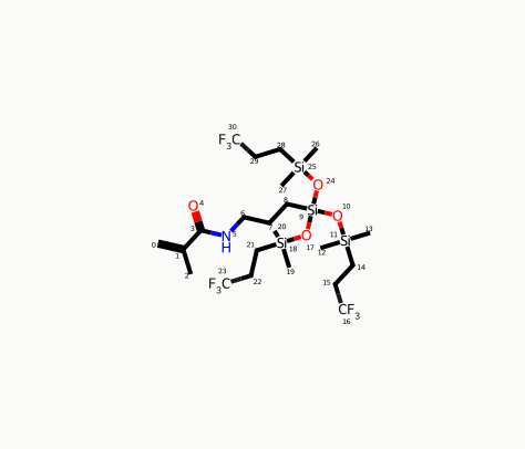 C=C(C)C(=O)NCCC[Si](O[Si](C)(C)CCC(F)(F)F)(O[Si](C)(C)CCC(F)(F)F)O[Si](C)(C)CCC(F)(F)F